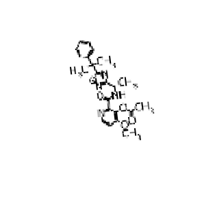 COc1ccnc(C(=O)N[C@@H](C)c2noc(C(C)(C)c3ccccc3)n2)c1OC(C)=O